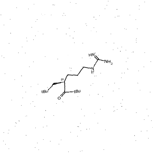 CC(C)(C)C[C@@H](CCCNC(=N)N)C(=O)C(C)(C)C